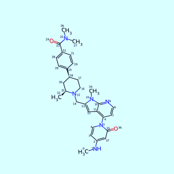 CNc1ccn(-c2ccnc3c2cc(CN2CC[C@H](c4ccc(C(=O)N(C)C)cc4)C[C@@H]2C)n3C)c(=O)c1